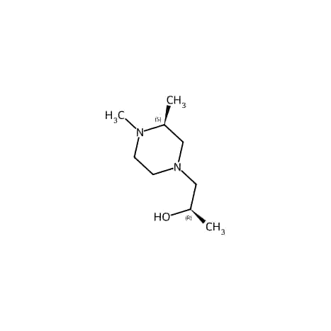 C[C@@H](O)CN1CCN(C)[C@@H](C)C1